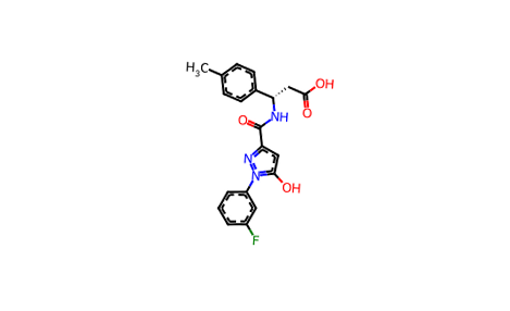 Cc1ccc([C@H](CC(=O)O)NC(=O)c2cc(O)n(-c3cccc(F)c3)n2)cc1